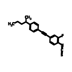 CCCC(C)c1ccc(C#Cc2ccc(N=C=S)c(F)c2)cc1